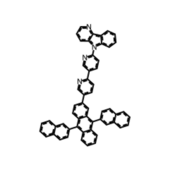 c1ccc2cc(-c3c4ccccc4c(-c4ccc5ccccc5c4)c4cc(-c5ccc(-c6ccc(-n7c8ccccc8c8ncccc87)nc6)nc5)ccc34)ccc2c1